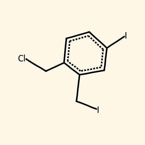 ClCc1ccc(I)cc1CI